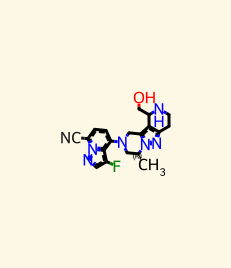 C[C@@H]1CN(c2ccc(C#N)n3ncc(F)c23)Cc2c3c(nn21)CCNC3CO